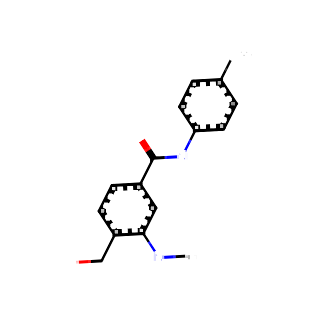 COc1ccc(NC(=O)c2ccc(CO)c(NC(C)C)c2)cc1